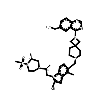 Cc1c(CN2CCC3(CC2)CN(c2ncnc4ccc(CC(F)(F)F)cc24)C3)ccc2c1cc(C#N)n2C[C@H](C)N1CCN(S(C)(=O)=O)[C@@H](C)C1